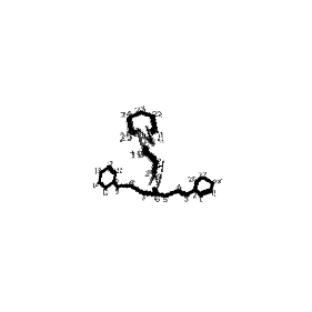 C1=CC(CCCC(CCCC2C=CCCC2)NCCCN2CCCCC2)CCC1